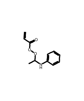 C=CC(=O)OOC(C)Nc1ccccc1